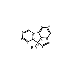 C=CC(Br)(c1ccccc1)c1ccccc1